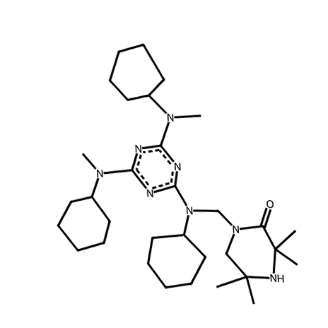 CN(c1nc(N(C)C2CCCCC2)nc(N(CN2CC(C)(C)NC(C)(C)C2=O)C2CCCCC2)n1)C1CCCCC1